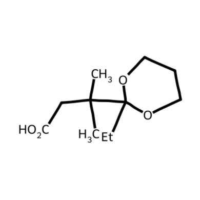 CCC1(C(C)(C)CC(=O)O)OCCCO1